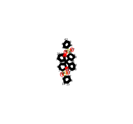 O=C1C(C(C2=CC=CC(S(=O)(=O)c3ccccc3)C2=O)(c2ccccc2)c2ccccc2)=CC=CC1S(=O)(=O)c1ccccc1